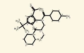 CC[C@@H](CN(C(=O)C1CCC(C)CC1)c1cc(C(C)(C)C)sc1C(=O)O)C(=O)N1CCOCC1